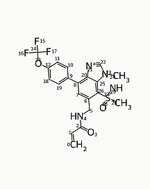 C=CC(=O)NCc1cc(-c2ccc(OC(F)(F)F)cc2)c2[n+]#cn(C)c2c1[S@](C)(=N)=O